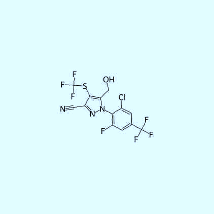 N#Cc1nn(-c2c(F)cc(C(F)(F)F)cc2Cl)c(CO)c1SC(F)(F)F